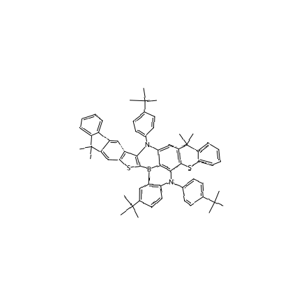 CC(C)(C)c1ccc(N2c3ccc(C(C)(C)C)cc3B3c4sc5cc6c(cc5c4N(c4ccc(C(C)(C)C)cc4)c4cc5c(c2c43)Sc2ccccc2C5(C)C)-c2ccccc2C6(C)C)cc1